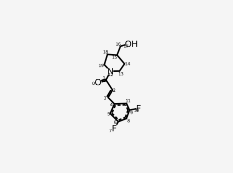 O=C(C=Cc1cc(F)cc(F)c1)N1CCC(CO)CC1